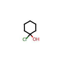 OC1(Cl)CCCCC1